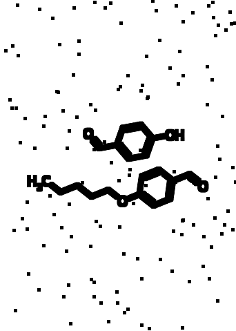 CCCCCOc1ccc(C=O)cc1.O=Cc1ccc(O)cc1